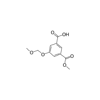 COCOc1cc(C(=O)O)cc(C(=O)OC)c1